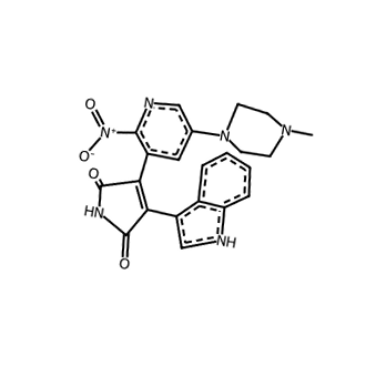 CN1CCN(c2cnc([N+](=O)[O-])c(C3=C(c4c[nH]c5ccccc45)C(=O)NC3=O)c2)CC1